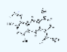 C/N=C\c1c(O)cc(O)c2nc3c(C(=O)NC)ccc(O)c3nc12